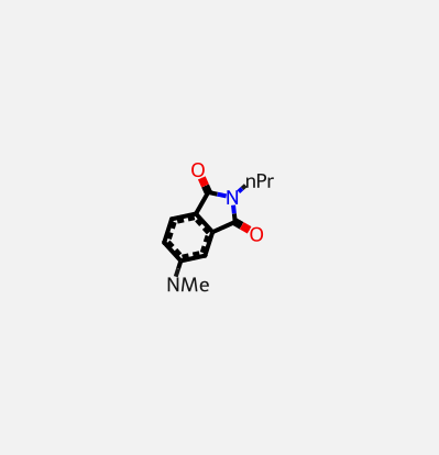 CCCN1C(=O)c2ccc(NC)cc2C1=O